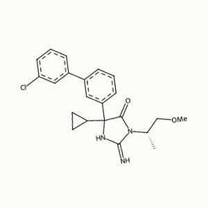 COC[C@H](C)N1C(=N)NC(c2cccc(-c3cccc(Cl)c3)c2)(C2CC2)C1=O